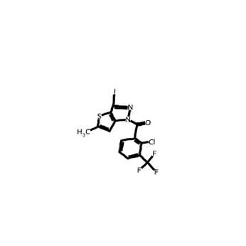 Cc1cc2c(s1)c(I)nn2C(=O)c1cccc(C(F)(F)F)c1Cl